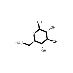 O=S(=O)(O)C[C@H]1OC(O)[C@H](O)[C@@H](O)[C@@H]1O